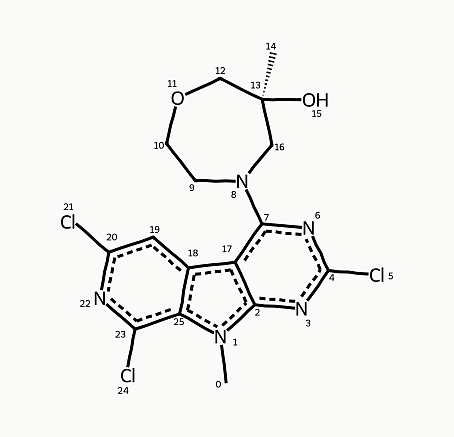 Cn1c2nc(Cl)nc(N3CCOC[C@@](C)(O)C3)c2c2cc(Cl)nc(Cl)c21